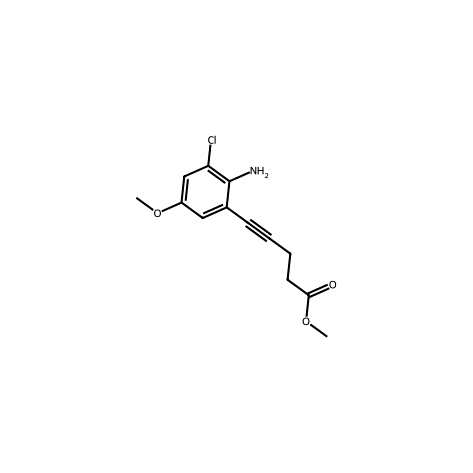 COC(=O)CCC#Cc1cc(OC)cc(Cl)c1N